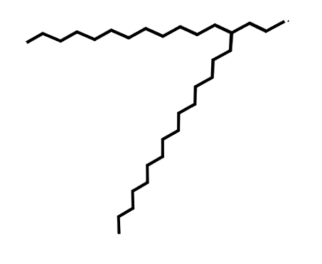 [CH2]CCC(CCCCCCCCCCCC)CCCCCCCCCCCCCCC